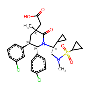 CN(C[C@@H](C1CC1)N1C(=O)[C@@](C)(CC(=O)O)C[C@H](c2cccc(Cl)c2)[C@H]1c1ccc(Cl)cc1)S(=O)(=O)C1CC1